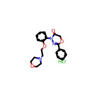 Cl.O=C1COC(c2ccccc2)=NN1c1ccccc1OCCN1CCOCC1